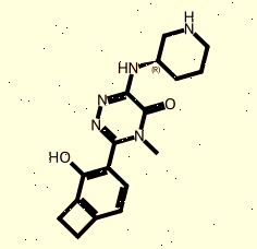 Cn1c(-c2ccc3c(c2O)CC3)nnc(N[C@@H]2CCCNC2)c1=O